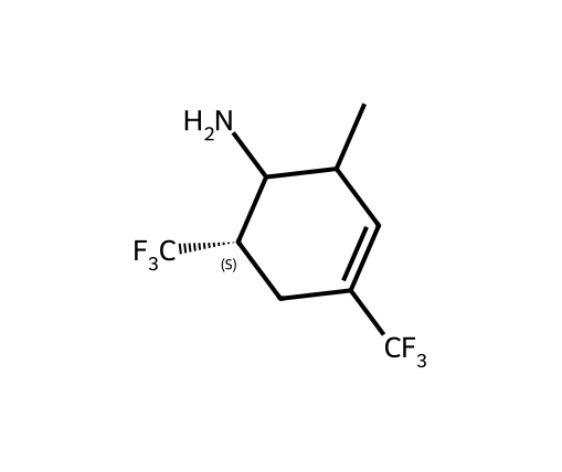 CC1C=C(C(F)(F)F)C[C@H](C(F)(F)F)C1N